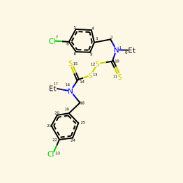 CCN(Cc1ccc(Cl)cc1)C(=S)SSC(=S)N(CC)Cc1ccc(Cl)cc1